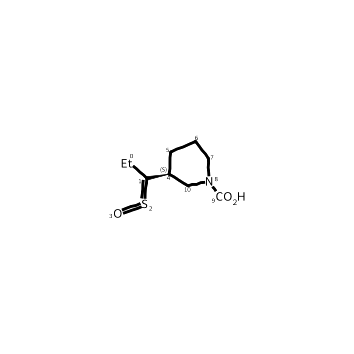 CCC(=S=O)[C@H]1CCCN(C(=O)O)C1